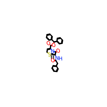 O=C(Cc1ccccc1)NC1C(=O)N2C(C(=O)OC(c3ccccc3)c3ccccc3)=CCS[C@@H]12